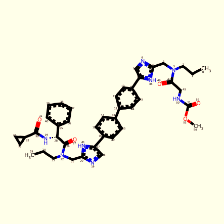 CCCN(Cc1ncc(-c2ccc(-c3ccc(-c4cnc(CN(CCC)C(=O)[C@H](NC(=O)C5CC5)c5ccccc5)[nH]4)cc3)cc2)[nH]1)C(=O)CNC(=O)OC